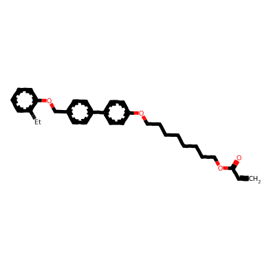 C=CC(=O)OCCCCCCCCOc1ccc(-c2ccc(COc3ccccc3CC)cc2)cc1